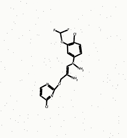 N/C(=C\N(N)c1ccc(Cl)c(OC(F)F)c1)COc1nccc(Cl)n1